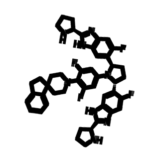 Fc1cc2nc([C@@H]3CCCN3)[nH]c2cc1[C@H]1CC[C@H](c2cc3[nH]c([C@@H]4CCCN4)nc3cc2F)N1c1cc(F)c(N2CCC3(CCc4ccccc43)CC2)c(F)c1